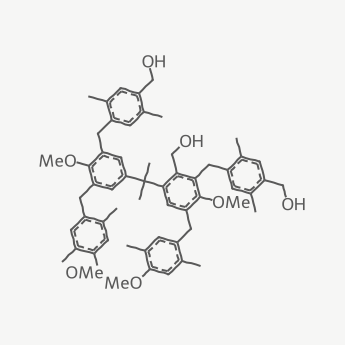 COc1cc(C)c(Cc2cc(C(C)(C)c3cc(Cc4cc(C)c(OC)cc4C)c(OC)c(Cc4cc(C)c(CO)cc4C)c3CO)cc(Cc3cc(C)c(CO)cc3C)c2OC)cc1C